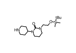 CC(C)(C)[Si](C)(C)OCCN1CCCN(C2CCNCC2)C1=O